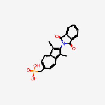 Cc1c2ccc(CP(=O)(O)O)ccc-2c(C)c1N1C(=O)c2ccccc2C1=O